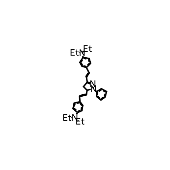 CCN(CC)c1ccc(C=CC2=NN(c3ccccc3)C(C=Cc3ccc(N(CC)CC)cc3)C2)cc1